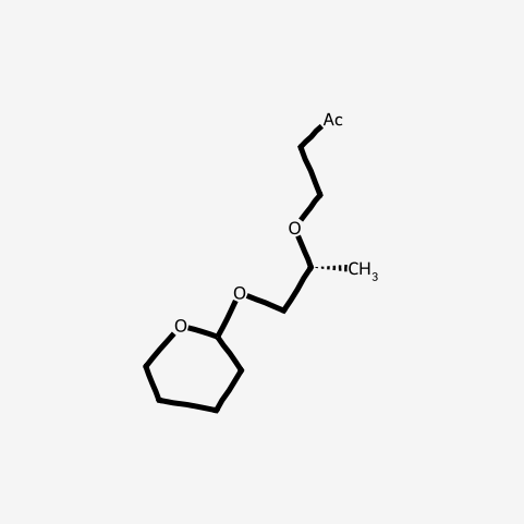 CC(=O)CCO[C@H](C)COC1CCCCO1